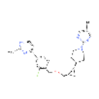 CCc1cnc(N2CCC([C@H]3C[C@H]3COCc3ccc(-c4ccnc(OC)n4)cc3F)CC2)nc1